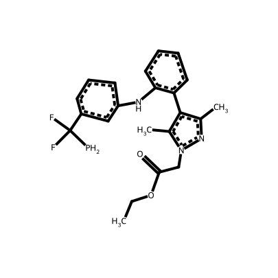 CCOC(=O)Cn1nc(C)c(-c2ccccc2Nc2cccc(C(F)(F)P)c2)c1C